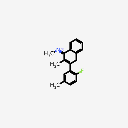 C/N=C1\C(C)=C(c2cc(C)ccc2F)Cc2ccccc21